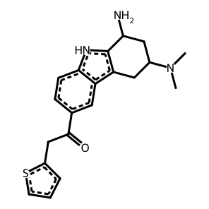 CN(C)C1Cc2c([nH]c3ccc(C(=O)Cc4cccs4)cc23)C(N)C1